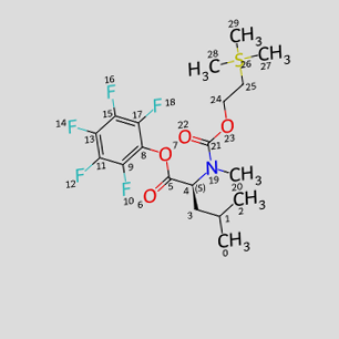 CC(C)C[C@@H](C(=O)Oc1c(F)c(F)c(F)c(F)c1F)N(C)C(=O)OCCS(C)(C)C